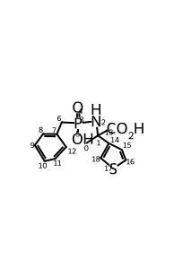 CC(NP(=O)(O)Cc1ccccc1)(C(=O)O)c1ccsc1